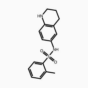 Cc1ccccc1S(=O)(=O)Nc1ccc2c(c1)CCCN2